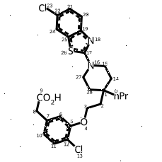 CCCC1(CCOc2cc(CC(=O)O)ccc2Cl)CCN(c2nc3ccc(Cl)cc3s2)CC1